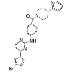 O=C(c1ccc(Nc2nccc(-c3ccc(Br)s3)n2)cc1)N1CCC(c2ccccn2)CC1